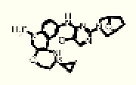 CN1CC2=C(N[C@@H](C3CC3)CCO2)c2cc(Nc3nc(N4CC5CCC(C4)O5)ncc3Cl)ccc21